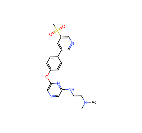 CC(=O)N(C)CCNc1cncc(Oc2ccc(-c3cncc(S(C)(=O)=O)c3)cc2)n1